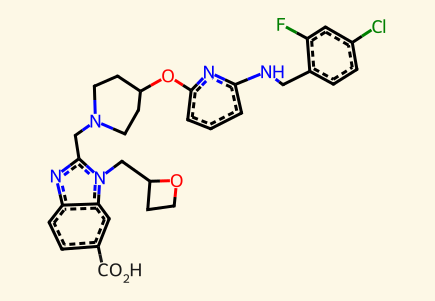 O=C(O)c1ccc2nc(CN3CCC(Oc4cccc(NCc5ccc(Cl)cc5F)n4)CC3)n(CC3CCO3)c2c1